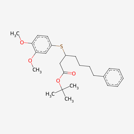 COc1ccc(SC(CCCCc2ccccc2)CC(=O)OC(C)(C)C)cc1OC